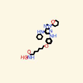 O=C(CCCCCCOc1ccc(Nc2cc(NC3CCCCC3)c3ncn(C4CCCCO4)c3n2)cc1)NO